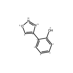 Oc1ccccc1-c1conn1